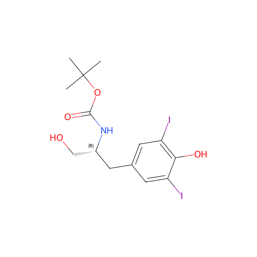 CC(C)(C)OC(=O)N[C@@H](CO)Cc1cc(I)c(O)c(I)c1